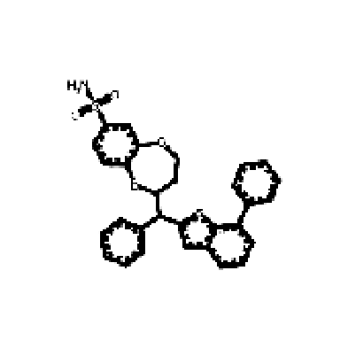 NS(=O)(=O)c1ccc2c(c1)OCCC(C(c1ccccc1)c1cc3cccc(-c4ccccc4)c3s1)O2